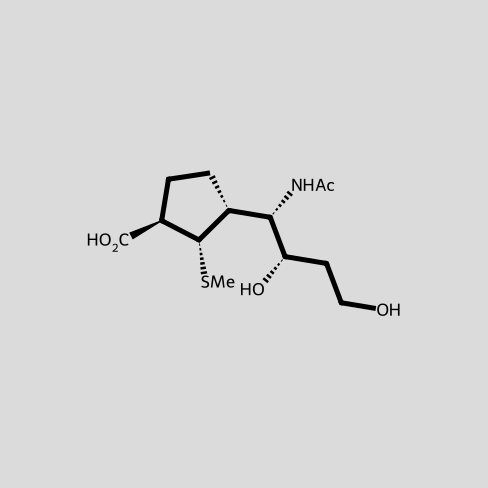 CS[C@H]1[C@@H]([C@H](NC(C)=O)[C@@H](O)CCO)CC[C@@H]1C(=O)O